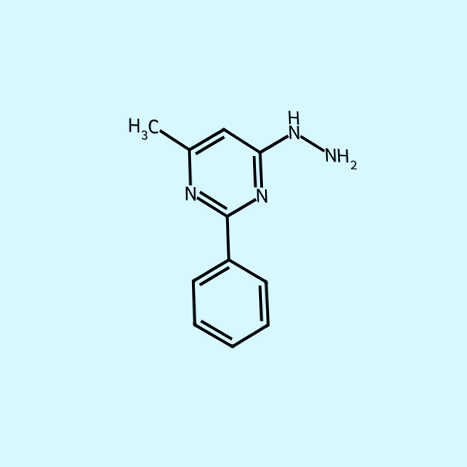 Cc1cc(NN)nc(-c2ccccc2)n1